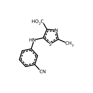 Cc1nc(C(=O)O)c(Nc2cccc(C#N)c2)s1